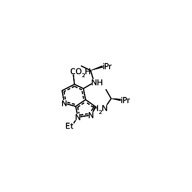 CC(C)[C@H](C)N.CCn1ncc2c(N[C@@H](C)C(C)C)c(C(=O)O)cnc21